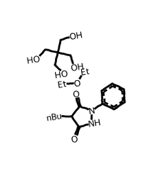 CCCCC1C(=O)NN(c2ccccc2)C1=O.CCOCC.OCC(CO)(CO)CO